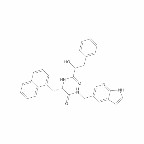 O=C(N[C@@H](Cc1cccc2ccccc12)C(=O)NCc1cnc2[nH]ccc2c1)C(O)Cc1ccccc1